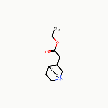 CCOC(=O)CC1C[N+]2CCC1CC2